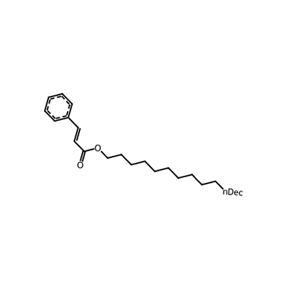 CCCCCCCCCCCCCCCCCCCCOC(=O)C=Cc1ccccc1